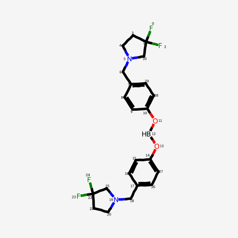 FC1(F)CCN(Cc2ccc(OBOc3ccc(CN4CCC(F)(F)C4)cc3)cc2)C1